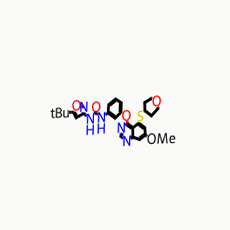 COc1cc(SC2CCOCC2)c2c(Oc3cccc(NC(=O)Nc4cc(C(C)(C)C)on4)c3)ncnc2c1